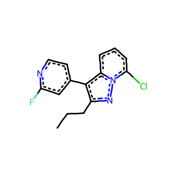 CCCc1nn2c(Cl)cccc2c1-c1ccnc(F)c1